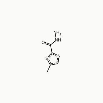 Cc1cnc(C(=O)NN)s1